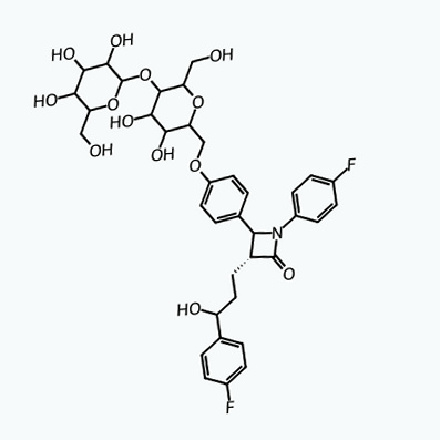 O=C1[C@H](CCC(O)c2ccc(F)cc2)C(c2ccc(OCC3OC(CO)C(OC4OC(CO)C(O)C(O)C4O)C(O)C3O)cc2)N1c1ccc(F)cc1